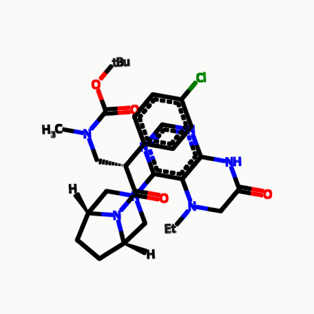 CCN1CC(=O)Nc2ncnc(N3C[C@H]4CC[C@@H](C3)N4C(=O)[C@H](CN(C)C(=O)OC(C)(C)C)c3ccc(Cl)cc3)c21